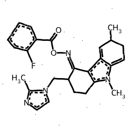 Cc1nccn1CC1CCc2c(c3c(n2C)=CCC(C)C=3)/C1=N/OC(=O)c1ccccc1F